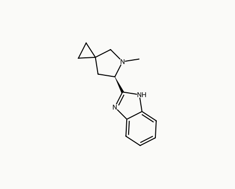 CN1CC2(CC2)C[C@@H]1c1nc2ccccc2[nH]1